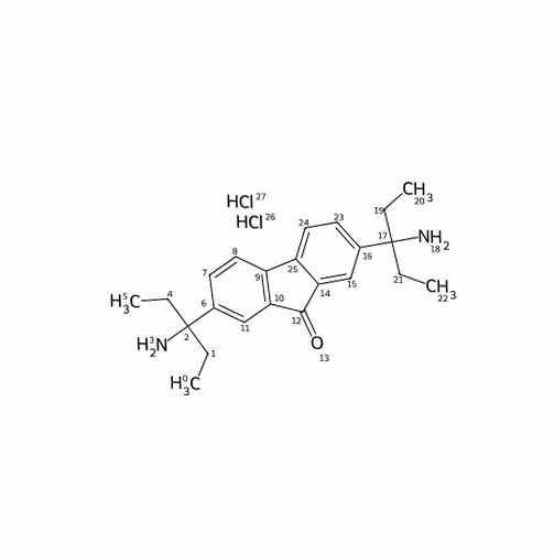 CCC(N)(CC)c1ccc2c(c1)C(=O)c1cc(C(N)(CC)CC)ccc1-2.Cl.Cl